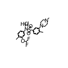 Cc1ccc(NS(=O)(=O)c2ccc(C)c(N3CCN(C)CC3)c2)cc1OC(F)F.Cl